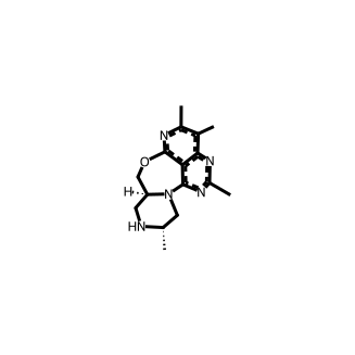 Cc1nc2c3c(nc(C)c(C)c3n1)OC[C@@H]1CN[C@@H](C)CN21